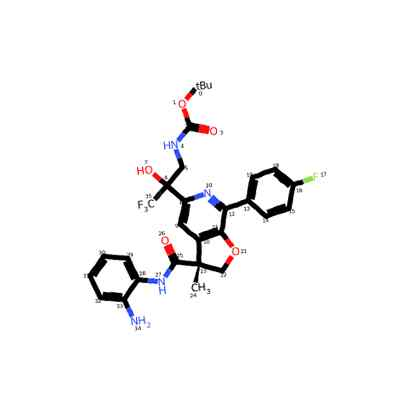 CC(C)(C)OC(=O)NCC(O)(c1cc2c(c(-c3ccc(F)cc3)n1)OC[C@]2(C)C(=O)Nc1ccccc1N)C(F)(F)F